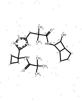 CC(C)(C)C(=O)NC1(c2noc(CC(C)(C)C(=O)NC3C(O)C4CCCC43)n2)CCC1